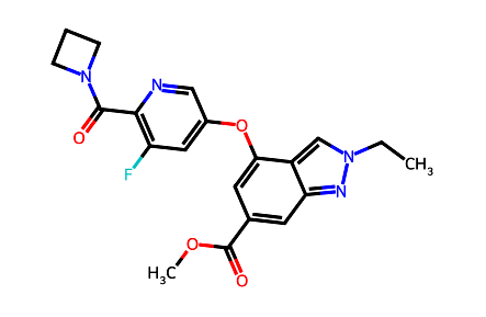 CCn1cc2c(Oc3cnc(C(=O)N4CCC4)c(F)c3)cc(C(=O)OC)cc2n1